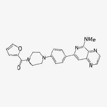 CNc1nc(-c2ccc(N3CCN(C(=O)c4ccco4)CC3)cc2)cc2nccnc12